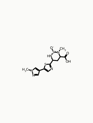 CN1C(C(=O)O)CC(c2ncc(-c3cnn(C)c3)s2)N[S+]1[O-]